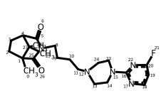 CC12CCC(C(=O)N(CCCCN3CCN(c4nccc(F)n4)CC3)C1=O)C2(C)C